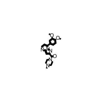 COc1ccc(-c2ccnc3cc(C(=O)N4CCN(C)CC4)nn23)cc1OC